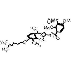 COc1ccc(C(=O)NCC2CN(C(C)c3ccc(OCCCCN(C)C)c(C)c3C)C2)c(OC)c1OC